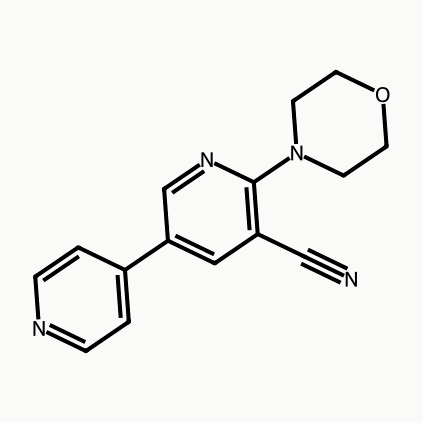 N#Cc1cc(-c2ccncc2)cnc1N1CCOCC1